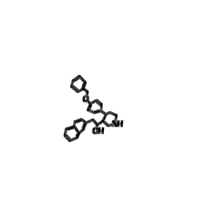 OC(Cc1ccc2ccccc2c1)C1CNCCC1c1ccc(OCc2ccccc2)cc1